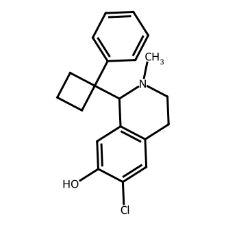 CN1CCc2cc(Cl)c(O)cc2C1C1(c2ccccc2)CCC1